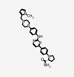 Cn1cccc1CN1CCN(c2ccc(Nc3nccc(-c4ccc(N5CCC[C@@H]5C(N)=O)cc4)n3)cc2)CC1